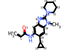 C=CC(=O)Nc1cc2nc(N3CCCCC3)n(C)c2cc1C1CC1